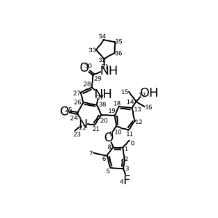 Cc1cc(F)cc(C)c1Oc1ccc(C(C)(C)O)cc1-c1cn(C)c(=O)c2cc(C(=O)NC3CCCC3)[nH]c12